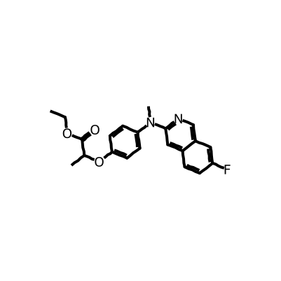 CCOC(=O)C(C)Oc1ccc(N(C)c2cc3ccc(F)cc3cn2)cc1